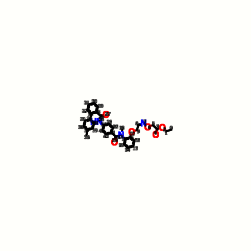 CCOC(=O)CO/N=C\COc1ccccc1N(C)C(=O)c1ccc(NC(=O)c2ccccc2-c2ccc(C)cc2)cc1